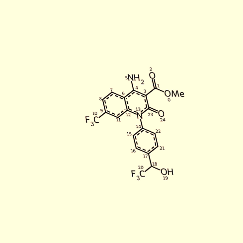 COC(=O)c1c(N)c2ccc(C(F)(F)F)cc2n(-c2ccc(C(O)C(F)(F)F)cc2)c1=O